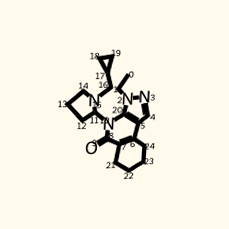 CCn1ncc2c3c(c(=O)n(C4CCCN4CC4CC4)c21)CCCC3